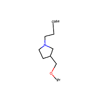 COCCN1CCC(COC(C)C)C1